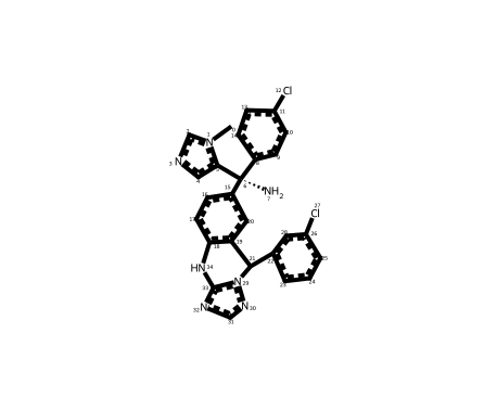 Cn1cncc1[C@@](N)(c1ccc(Cl)cc1)c1ccc2c(c1)C(c1cccc(Cl)c1)n1ncnc1N2